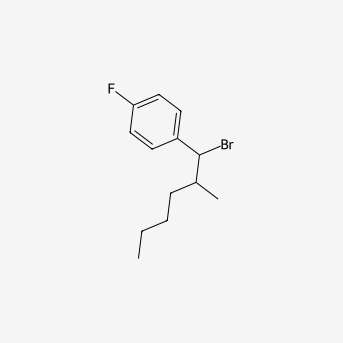 CCCCC(C)C(Br)c1ccc(F)cc1